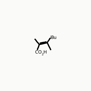 CCC(C)/C(C)=C(\C)C(=O)O